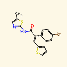 Cc1cnc(NC(=O)/C(=C/c2cccs2)c2ccc(Br)cc2)s1